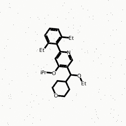 CCOC(c1cnc(-c2c(CC)cccc2CC)cc1OC(C)C)C1CCOCC1